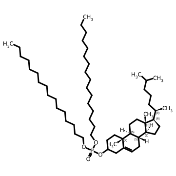 CCCCCCCCCCCCCCCCOP(=O)(OCCCCCCCCCCCCCCCC)OC1CC[C@@]2(C)C(=CC[C@H]3[C@@H]4CC[C@H]([C@H](C)CCCC(C)C)[C@@]4(C)CC[C@@H]32)C1